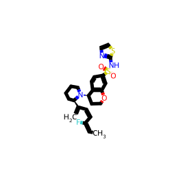 C=C(/C=C\C(F)=C/C)[C@H]1CCCCN1[C@H]1CCOc2cc(S(=O)(=O)Nc3nccs3)ccc21